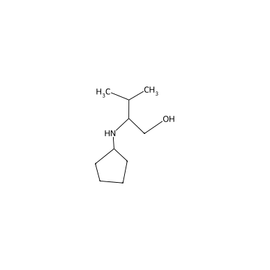 CC(C)C(CO)NC1CCCC1